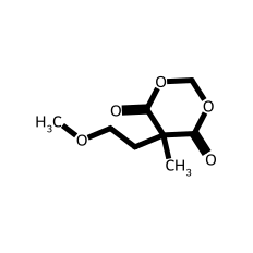 COCCC1(C)C(=O)OCOC1=O